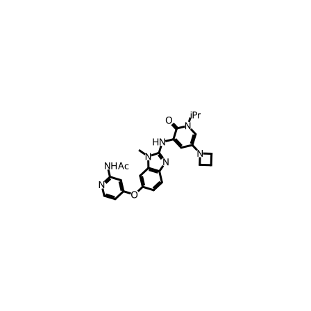 CC(=O)Nc1cc(Oc2ccc3nc(Nc4cc(N5CCC5)cn(C(C)C)c4=O)n(C)c3c2)ccn1